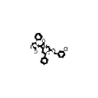 O=C(CN1C(=O)C(N2C(=O)OC[C@@H]2c2ccccc2)C1C=Cc1ccccc1)OCc1cccc(Cl)c1